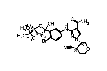 CC(C)(O[Si](C)(C)C(C)(C)C)c1cc(Nc2nn([C@@H]3COCC[C@H]3C#N)cc2C(N)=O)ccc1Br